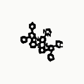 c1ccc(-c2cc(-c3ccccc3)c3c4cccc5c4n(c3c2)-c2cc(-c3ncccn3)cc3c2B5c2cccc4c5c(-c6ccccc6)cc(-c6ccccc6)cc5n-3c24)cc1